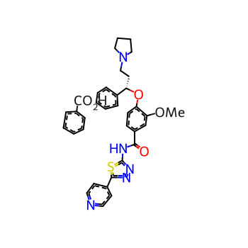 COc1cc(C(=O)Nc2nnc(-c3ccncc3)s2)ccc1O[C@@H](CCN1CCCC1)c1ccccc1.O=C(O)c1ccccc1